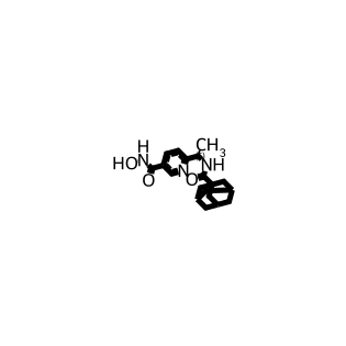 C[C@H](NC(=O)C12CC3CC(CC(C3)C1)C2)c1ccc(C(=O)NO)cn1